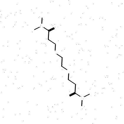 CN(C)C(=O)CCSCCSCCC(=O)N(C)C